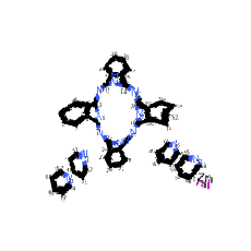 I.[Zn].c1ccc2c(c1)-c1nc-2nc2[nH]c(nc3nc(nc4[nH]c(n1)c1ccccc41)-c1ccccc1-3)c1ccccc21.c1ccncc1.c1ccncc1.c1ccncc1.c1ccncc1